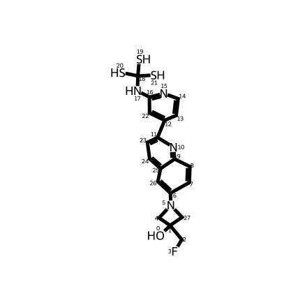 OC1(CF)CN(c2ccc3nc(-c4ccnc(NC(S)(S)S)c4)ccc3c2)C1